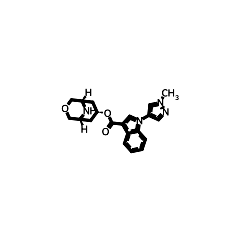 Cn1cc(-n2cc(C(=O)O[C@H]3C[C@H]4COC[C@@H](C3)N4)c3ccccc32)cn1